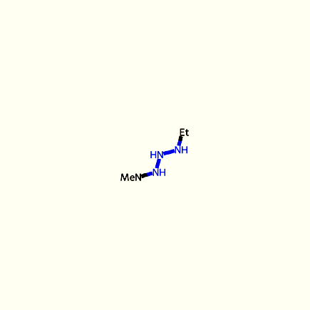 CCNNNNC